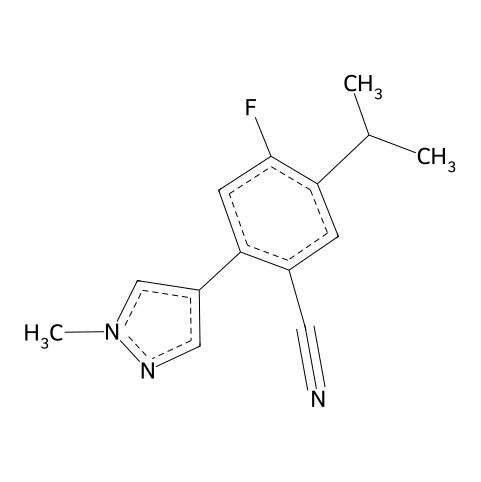 CC(C)c1cc(C#N)c(-c2cnn(C)c2)cc1F